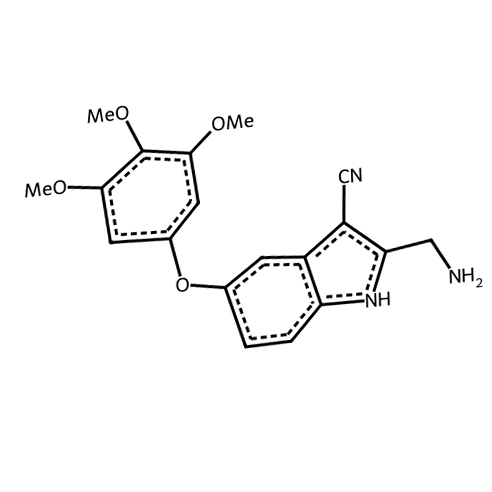 COc1cc(Oc2ccc3[nH]c(CN)c(C#N)c3c2)cc(OC)c1OC